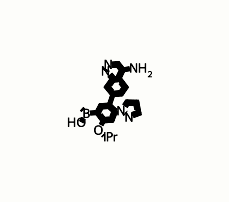 CB(O)c1cc(-c2ccc3c(N)cnnc3c2)c(-n2cccn2)cc1OC(C)C